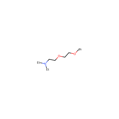 CCN(CC)CCOCCOC(C)C